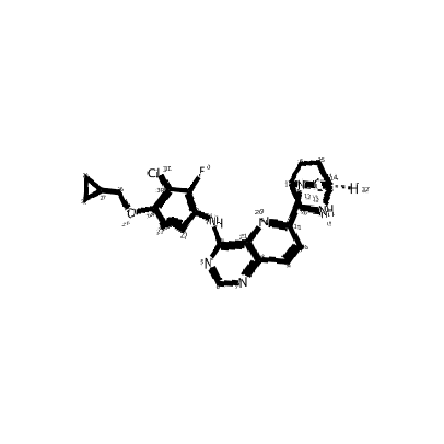 Fc1c(Nc2ncnc3ccc(N4C[C@H]5CCC4CN5)nc23)ccc(OCC2CC2)c1Cl